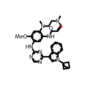 C=CC(=O)Nc1cc(Nc2ncnc(-c3cn(C45CC(C4)C5)c4ccccc34)n2)c(OC)cc1N(C)CCN(C)C